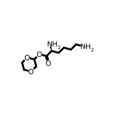 NCCCC[C@H](N)C(=O)OC1COCCO1